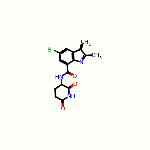 C=C1C(C)=Nc2c1cc(Br)cc2C(=O)NC1CCC(=O)NC1=O